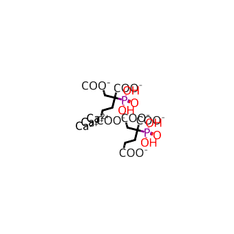 O=C([O-])CCC(CC(=O)[O-])(C(=O)[O-])P(=O)(O)O.O=C([O-])CCC(CC(=O)[O-])(C(=O)[O-])P(=O)(O)O.[Ca+2].[Ca+2].[Ca+2]